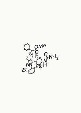 CCc1cccc(CC)c1-n1nc2c(c1-c1cc(F)c(NC(N)=O)cc1F)CN(C(C(=O)OC)c1ccccc1)CC2